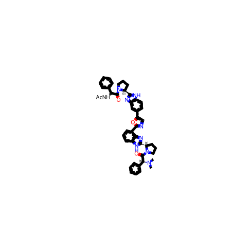 CC(=O)NC(C(=O)N1CCC[C@H]1c1nc2cc(-c3cnc(-c4cccc5[nH]c([C@@H]6CCCN6C(=O)[C@@H](c6ccccc6)N(C)C)nc45)o3)ccc2[nH]1)c1ccccc1